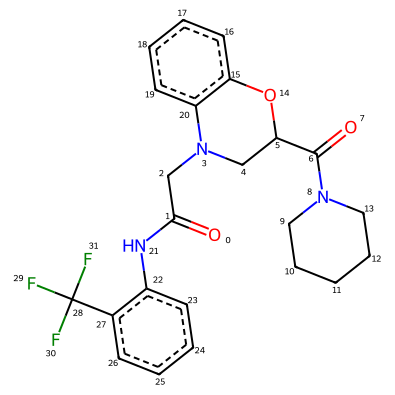 O=C(CN1CC(C(=O)N2CCCCC2)Oc2ccccc21)Nc1ccccc1C(F)(F)F